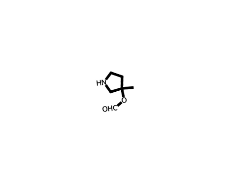 CC1(OC=O)CCNC1